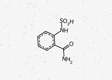 NC(=O)c1ccccc1NS(=O)(=O)O